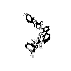 Cn1c(C(=O)Nc2cccc(-c3cccc(NC(=O)c4nc5c(s4)CNCC5)c3Cl)c2C#N)nc2c1CCNC2